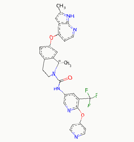 Cc1cc2c(Oc3ccc4c(c3)[C@H](C)N(C(=O)Nc3cnc(Oc5ccncc5)c(C(F)(F)F)c3)CC4)ccnc2[nH]1